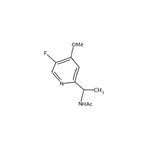 COc1cc(C(C)NC(C)=O)ncc1F